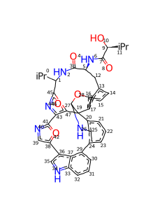 CC(C)C1NC(=O)[C@@H](NC(=O)[C@@H](O)C(C)C)Cc2ccc3c(c2)C24c5cccc(c5NC2O3)-c2cccc3[nH]cc(c23)-c2cnc(o2)-c2nc1oc24